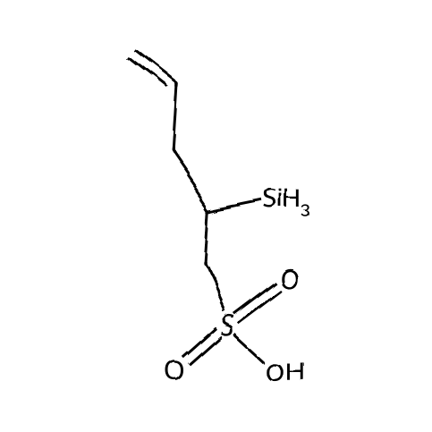 C=CCC([SiH3])CS(=O)(=O)O